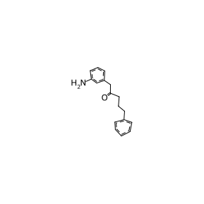 Nc1cccc(CC(=O)CCCc2ccccc2)c1